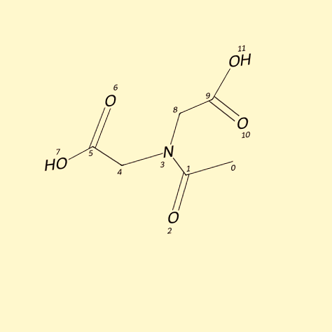 CC(=O)N(CC(=O)O)CC(=O)O